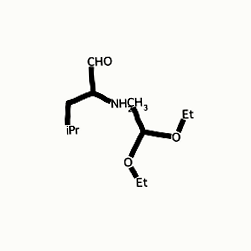 CC(C)CC(N)C=O.CCOC(C)OCC